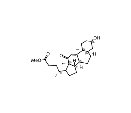 COC(=O)CC[C@@H](C)C1CC[C@H]2[C@@H]3CC[C@@H]4C[C@H](O)CC[C@]4(C)C3=CC(=O)[C@]12C